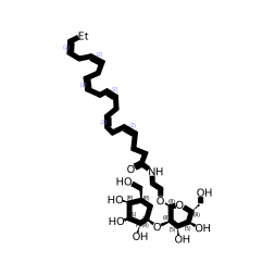 CC/C=C\C/C=C\C/C=C\C/C=C\C/C=C\C/C=C\CCC(=O)NCCO[C@@H]1O[C@H](CO)[C@@H](O)[C@H](O)[C@H]1O[C@@H]1C[C@H](CO)[C@@H](O)[C@H](O)[C@H]1O